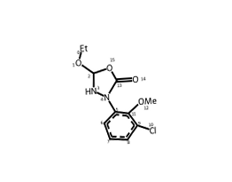 CCOC1NN(c2cccc(Cl)c2OC)C(=O)O1